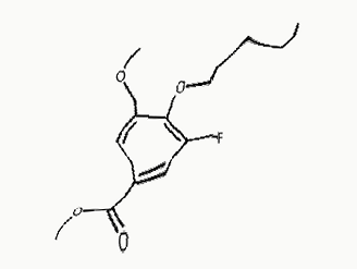 CCCCOc1c(F)cc(C(=O)OC)cc1OC